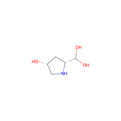 OC(O)[C@H]1C[C@@H](O)CN1